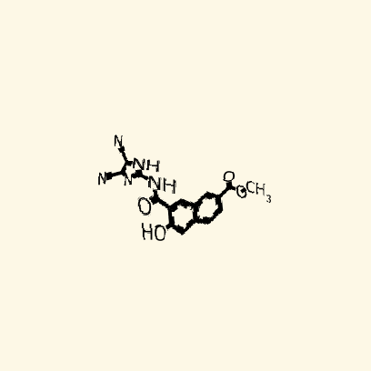 COC(=O)c1ccc2cc(O)c(C(=O)Nc3nc(C#N)c(C#N)[nH]3)cc2c1